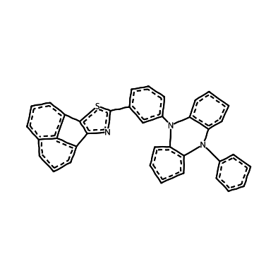 c1ccc(N2c3ccccc3N(c3cccc(-c4nc5c(s4)-c4cccc6cccc-5c46)c3)c3ccccc32)cc1